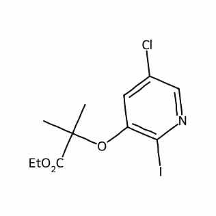 CCOC(=O)C(C)(C)Oc1cc(Cl)cnc1I